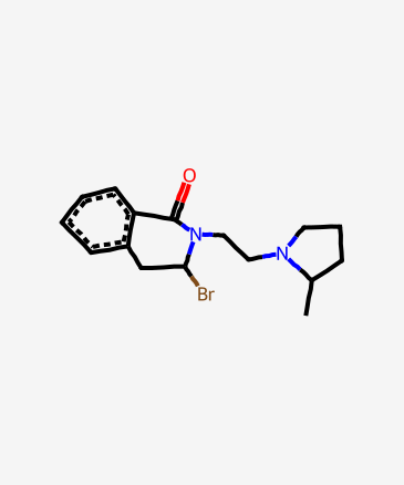 CC1CCCN1CCN1C(=O)c2ccccc2CC1Br